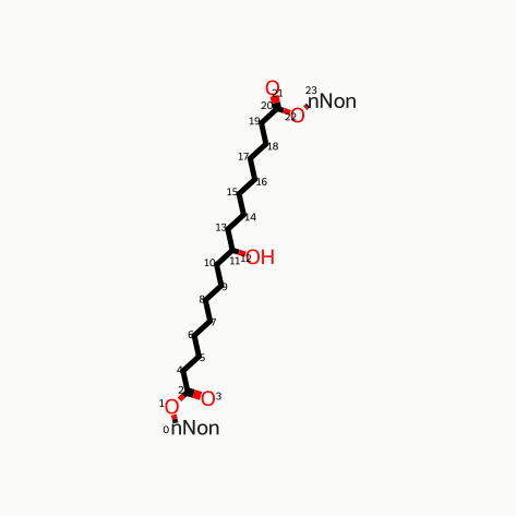 CCCCCCCCCOC(=O)CCCCCCCC(O)CCCCCCCC(=O)OCCCCCCCCC